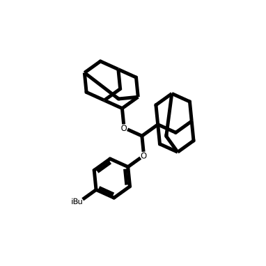 CCC(C)c1ccc(OC(OC2C3CC4CC(C3)CC2C4)C23CC4CC(CC(C4)C2)C3)cc1